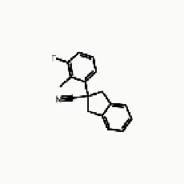 Cc1c(F)cccc1C1(C#N)Cc2ccccc2C1